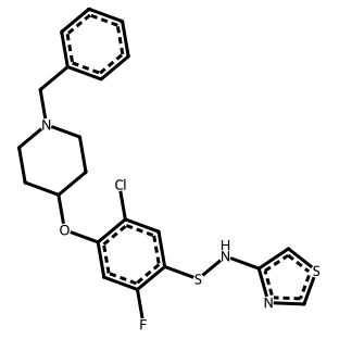 Fc1cc(OC2CCN(Cc3ccccc3)CC2)c(Cl)cc1SNc1cscn1